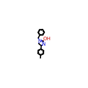 Cc1ccc(C2CN(Cc3ccccc3)C(O)=N2)cc1